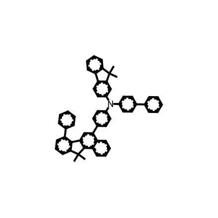 CC1(C)c2ccccc2-c2ccc(N(c3ccc(-c4ccccc4)cc3)c3ccc(-c4cc5c(c6ccccc46)C(C)(C)c4cccc(-c6ccccc6)c4-5)cc3)cc21